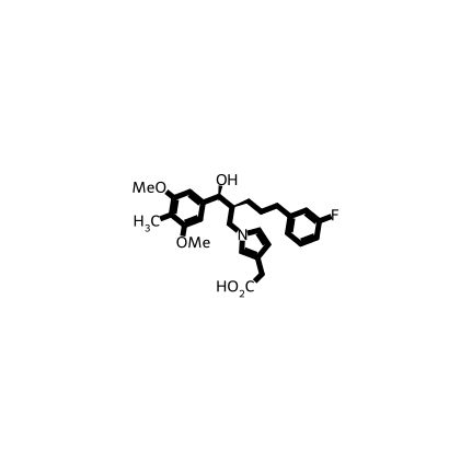 COc1cc([C@@H](O)[C@@H](CCCc2cccc(F)c2)Cn2ccc(CC(=O)O)c2)cc(OC)c1C